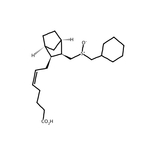 O=C(O)CCC/C=C\C[C@H]1[C@H]2CC[C@H](C2)[C@H]1C[S+]([O-])CC1CCCCC1